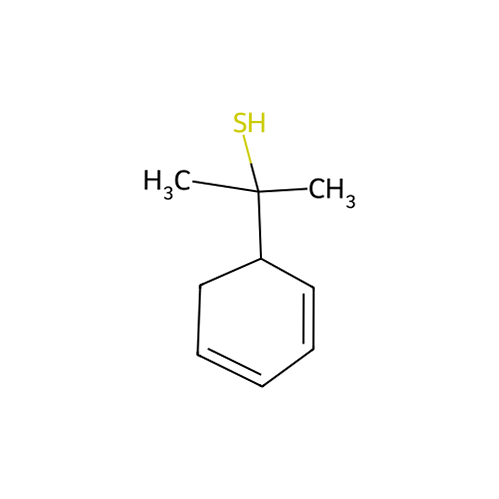 CC(C)(S)C1C=CC=CC1